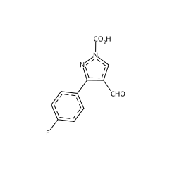 O=Cc1cn(C(=O)O)nc1-c1ccc(F)cc1